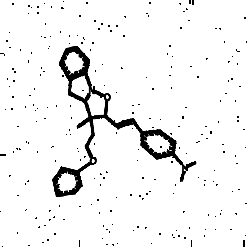 CN(C)c1ccc(C=CC2ON3c4ccccc4CC3C2(C)CCOc2ccccc2)cc1